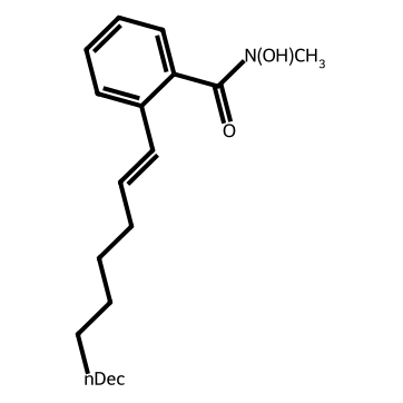 CCCCCCCCCCCCCCC=Cc1ccccc1C(=O)N(C)O